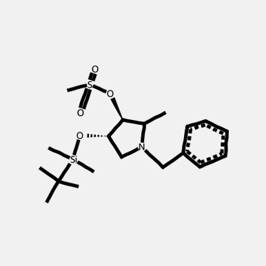 CC1[C@H](OS(C)(=O)=O)[C@@H](O[Si](C)(C)C(C)(C)C)CN1Cc1ccccc1